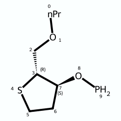 CCCOC[C@H]1SCC[C@@H]1OP